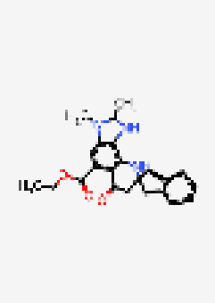 CCOC(=O)c1cc2c(c3c1C(=O)CC1(C=c4ccccc4=C1)N3)NC(C)N2C